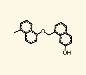 Cc1cccc2c(OCc3cccc4ccc(O)cc34)cccc12